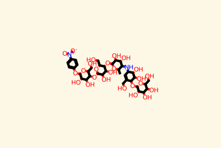 CC1OC(OC2C(CO)OC(OC3C(CO)OC(Oc4ccc([N+](=O)[O-])cc4)C(O)C3O)C(O)C2O)C(O)C(O)C1NC1C=C(CO)C(OC2OC(CO)C(O)C(O)C2O)C(O)C1O